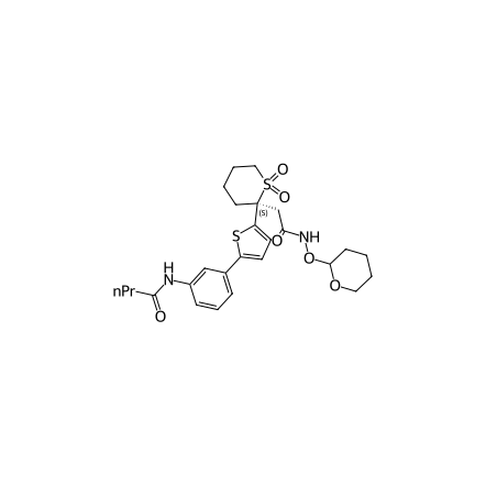 CCCC(=O)Nc1cccc(-c2ccc([C@@]3(CC(=O)NOC4CCCCO4)CCCCS3(=O)=O)s2)c1